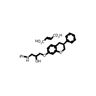 CC(C)NCC(O)COc1ccc2c(c1)OCC(c1ccccc1)C2.O=C(O)C=CC(=O)O